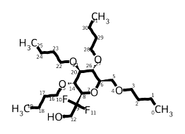 CCCCOC[C@H]1O[C@@H](C(F)(F)CO)[C@H](OCCCC)[C@@H](OCCCC)[C@@H]1OCCCC